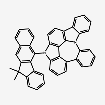 CC1(C)c2ccccc2-c2c1cc1ccccc1c2-n1c2cccc3c4ccccc4n4c5ccccc5c5ccc1c(c32)c54